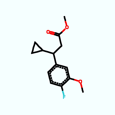 COC(=O)CC(c1ccc(F)c(OC)c1)C1CC1